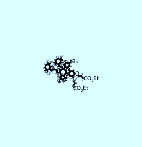 CCOC(=O)CCCOc1cc2oc3c(c2cc1OCCCC(=O)OCC)C1=C(c2cc(-c4cc5c(s4)C(C)(C)CCC5(C)C)sc2C3(c2ccc(C(C)(C)C)cc2)c2cc3c(s2)C(C)(C)CCC3(C)C)C(F)(F)C(F)(F)C1(F)F